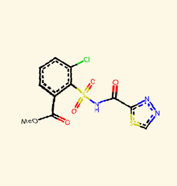 COC(=O)c1cccc(Cl)c1S(=O)(=O)NC(=O)c1nncs1